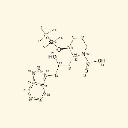 CC(C)(C)[Si](C)(C)O[C@H]1CCCN(C(=O)O)[C@@H]1CC(O)Cn1cnc2ccccc21